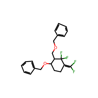 FC(F)=C1CC[C](OCc2ccccc2)C(COCc2ccccc2)C1(F)F